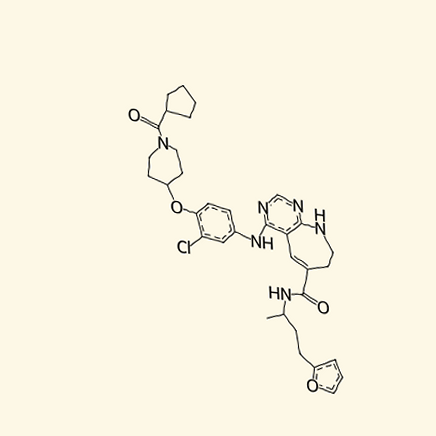 CC(CCc1ccco1)NC(=O)C1=Cc2c(ncnc2Nc2ccc(OC3CCN(C(=O)C4CCCC4)CC3)c(Cl)c2)NCC1